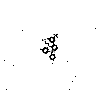 COCCN(c1cc(C)ccc1Nc1ccc(OC)cc1)c1ccccc1-c1cc(C)cc(C(C)(C)C)c1